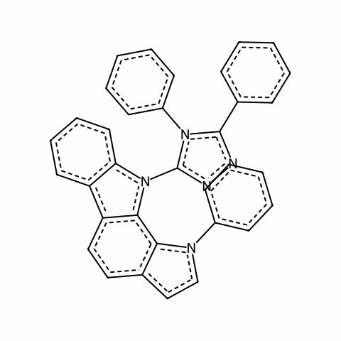 c1ccc(-c2nnc(-n3c4ccccc4c4ccc5ccn(-c6ccccc6)c5c43)n2-c2ccccc2)cc1